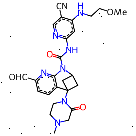 COCCNc1cc(NC(=O)N2c3nc(C=O)ccc3C3(N4CCN(C)CC4=O)CC2C3)ncc1C#N